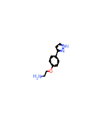 NCCOc1ccc(-c2cc[nH]n2)cc1